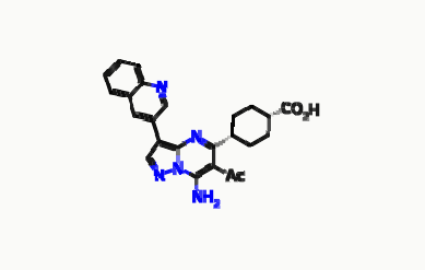 CC(=O)c1c(N)n2ncc(-c3cnc4ccccc4c3)c2nc1[C@H]1CC[C@@H](C(=O)O)CC1